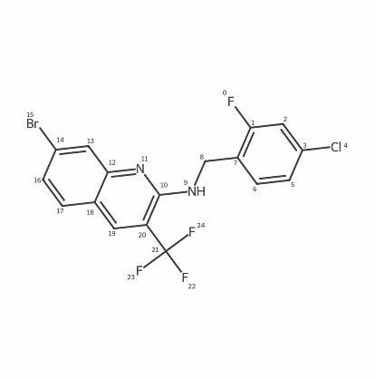 Fc1cc(Cl)ccc1CNc1nc2cc(Br)ccc2cc1C(F)(F)F